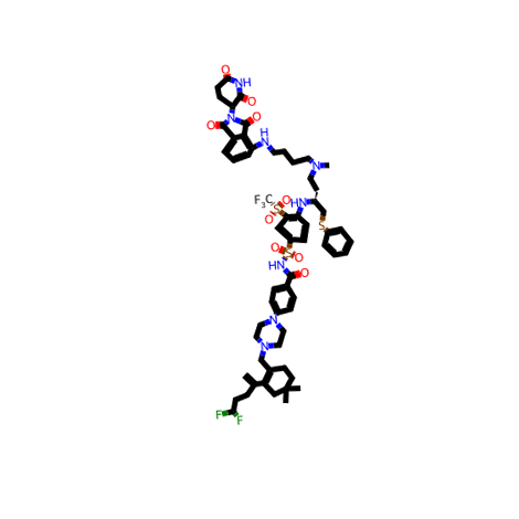 C=C(CCC(F)F)C1=C(CN2CCN(c3ccc(C(=O)NS(=O)(=O)c4ccc(N[C@H](CCN(C)CCCCNc5cccc6c5C(=O)N(C5CCC(=O)NC5=O)C6=O)CSc5ccccc5)c(S(=O)(=O)C(F)(F)F)c4)cc3)CC2)CCC(C)(C)C1